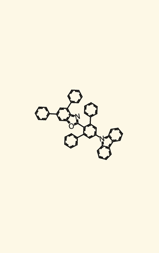 c1ccc(-c2cc(-c3ccccc3)c3nc(-c4c(-c5ccccc5)cc(-n5c6ccccc6c6ccccc65)cc4-c4ccccc4)oc3c2)cc1